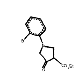 CCOC(=O)C1CN(c2ccccc2Br)CC1=O